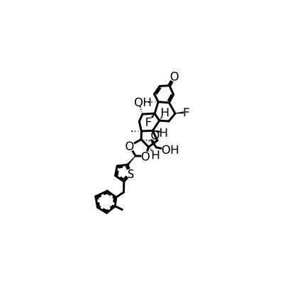 Cc1ccccc1Cc1ccc([C@@H]2O[C@@H]3C[C@H]4[C@@H]5C[C@H](F)C6=CC(=O)C=C[C@]6(C)[C@@]5(F)[C@@H](O)C[C@]4(C)[C@]3(C(=O)CO)O2)s1